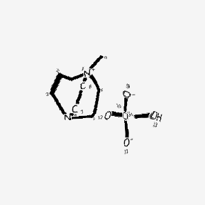 C[N+]12CCN(CC1)CC2.[O-][Cl+3]([O-])([O-])O